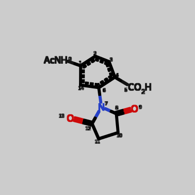 CC(=O)Nc1ccc(C(=O)O)c(N2C(=O)CCC2=O)c1